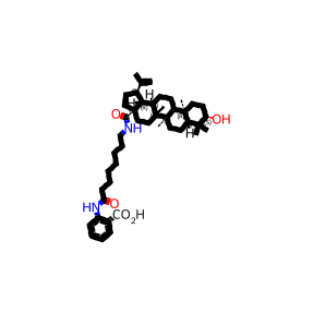 C=C(C)[C@@H]1CC[C@]2(C(=O)NCCCCCCCC(=O)Nc3ccccc3C(=O)O)CC[C@]3(C)[C@H](CCC4[C@@]5(C)CC[C@H](O)C(C)(C)[C@@H]5CC[C@]43C)[C@@H]12